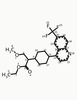 CCOC(=O)C(COC)C1CCC(c2ccnc3ccc(C(F)(F)F)cc23)CC1